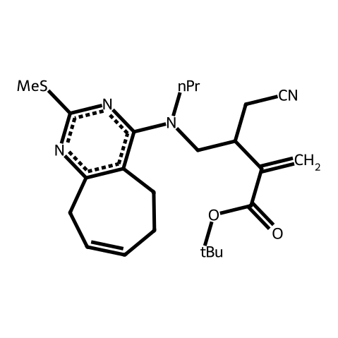 C=C(C(=O)OC(C)(C)C)C(CC#N)CN(CCC)c1nc(SC)nc2c1CCC=CC2